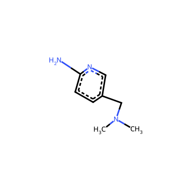 CN(C)Cc1ccc(N)nc1